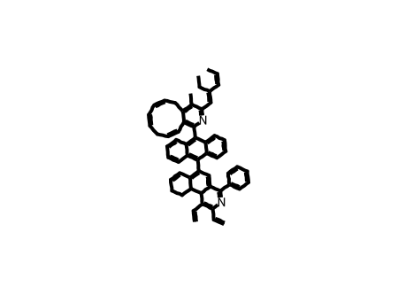 C=CC1=C(C=C)C2C(=CC(c3c4ccccc4c(-c4nc(/C=C(/C=C\C)CC)c(C)c5c4/C=C\C/C=C\C=C/C5)c4ccccc34)=C3C=CCCC32)C(c2ccccc2)=N1